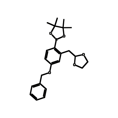 CC1(C)OB(c2ccc(OCc3ccccc3)cc2CC2OCCO2)OC1(C)C